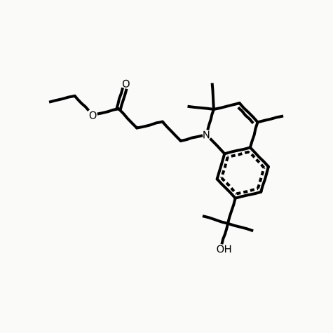 CCOC(=O)CCCN1c2cc(C(C)(C)O)ccc2C(C)=CC1(C)C